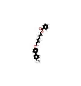 N#Cc1ccc(-c2ccc(OCCCCCCCCOC(=O)c3[c]cc[c]c3)cc2)cc1